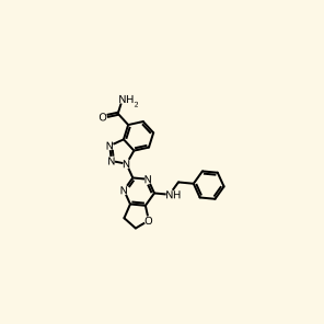 NC(=O)c1cccc2c1nnn2-c1nc2c(c(NCc3ccccc3)n1)OCC2